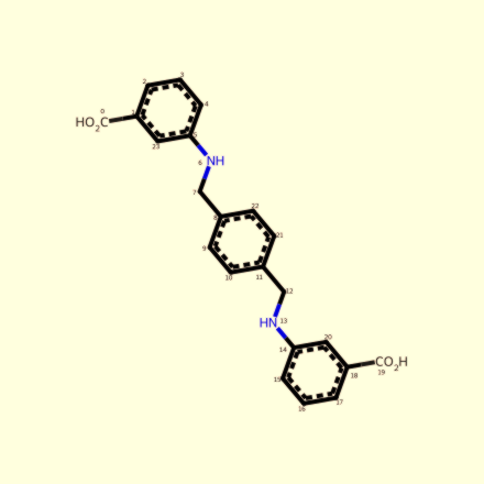 O=C(O)c1cccc(NCc2ccc(CNc3cccc(C(=O)O)c3)cc2)c1